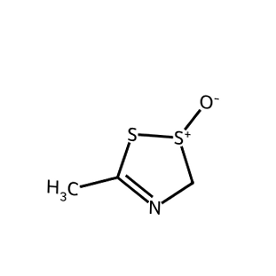 CC1=NC[S+]([O-])S1